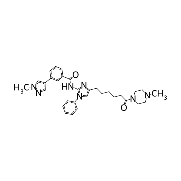 CN1CCN(C(=O)CCCCCc2cn(-c3ccccc3)c(NC(=O)c3cccc(-c4cnn(C)c4)c3)n2)CC1